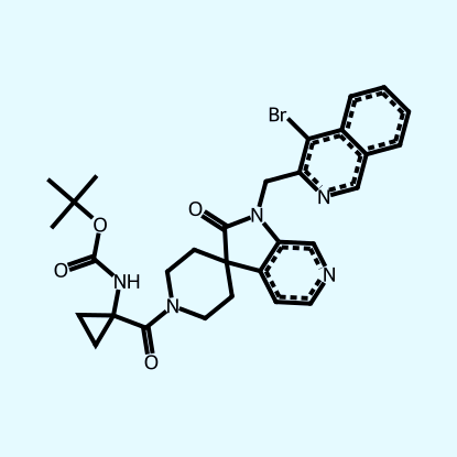 CC(C)(C)OC(=O)NC1(C(=O)N2CCC3(CC2)C(=O)N(Cc2ncc4ccccc4c2Br)c2cnccc23)CC1